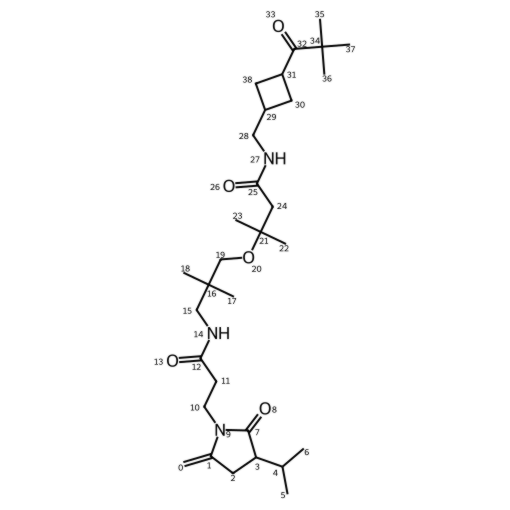 C=C1CC(C(C)C)C(=O)N1CCC(=O)NCC(C)(C)COC(C)(C)CC(=O)NCC1CC(C(=O)C(C)(C)C)C1